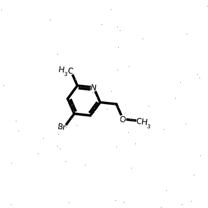 COCc1cc(Br)cc(C)n1